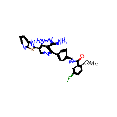 COc1ccc(F)cc1C(=O)NCc1ccc(-c2ncc(-c3nc4cccnc4s3)c3[nH]nc(N)c23)cc1